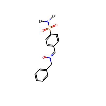 CCN(CC)S(=O)(=O)c1ccc(/C=[N+](\[O-])Cc2ccccc2)cc1